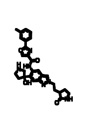 Cc1cccc(-c2nc(C(=O)Nc3cc4cn(CCC5CCNC5=O)nc4cc3C3(O)CCNC3)co2)c1